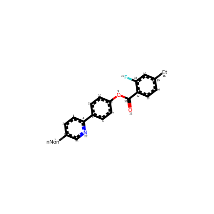 CCCCCCCCCc1ccc(-c2ccc(OC(=O)c3ccc(CC)cc3F)cc2)nc1